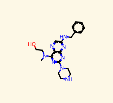 CN(CCO)c1nc(N2CCNCC2)nc2nc(NCc3ccccc3)cnc12